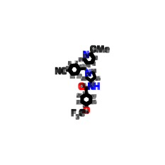 COc1ccc([C@@H](c2ccc(C#N)cc2)N2CCC(NC(=O)c3ccc(OC(F)(F)F)cc3)C2)cn1